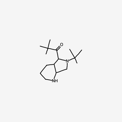 CC(C)(C)C(=O)C1C2CCCNC2CN1C(C)(C)C